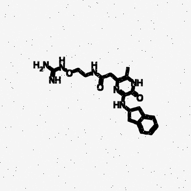 Cc1[nH]c(=O)c(NC2Cc3ccccc3C2)nc1CC(=O)NCCONC(=N)N